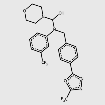 OC(N1CCOCC1)N(Cc1ccc(-c2nnc(C(F)(F)F)o2)cc1)c1cccc(C(F)(F)F)c1